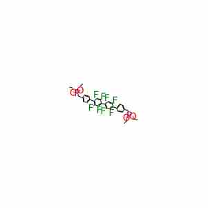 CCOP(Cc1ccc(-c2c(F)c(F)c(-c3c(F)c(F)c(-c4ccc(CP(OCC)OCC)cc4)c(F)c3F)c(F)c2F)cc1)OCC